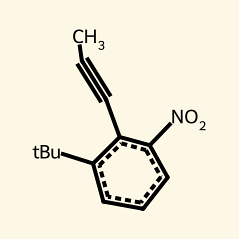 CC#Cc1c([N+](=O)[O-])cccc1C(C)(C)C